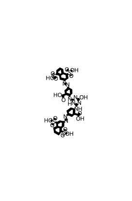 O=C(O)c1cc(/N=N/c2cc(S(=O)(=O)O)c3cccc(S(=O)(=O)O)c3c2)ccc1Nc1nc(O)nc(Nc2ccc(/N=N/c3cc(S(=O)(=O)O)c4cccc(S(=O)(=O)O)c4c3)cc2C(=O)O)n1